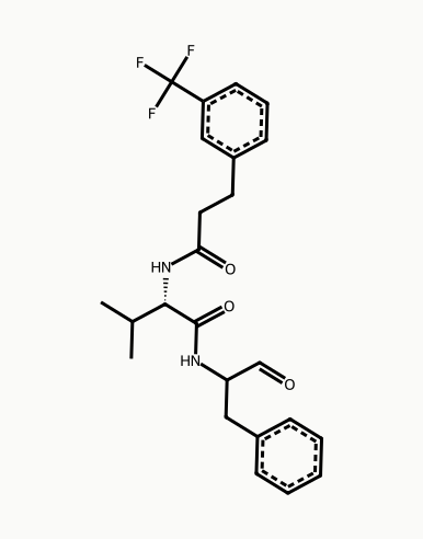 CC(C)[C@H](NC(=O)CCc1cccc(C(F)(F)F)c1)C(=O)NC(C=O)Cc1ccccc1